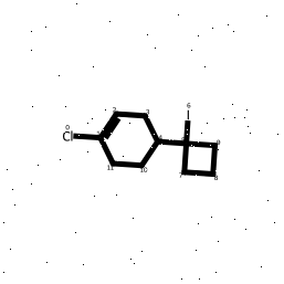 ClC1=CCC(C2(I)CCC2)CC1